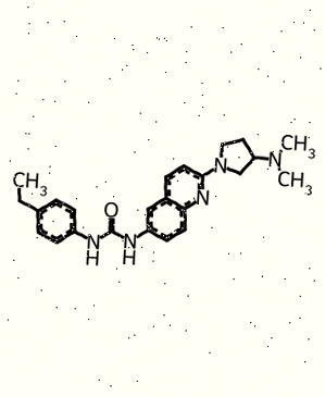 CCc1ccc(NC(=O)Nc2ccc3nc(N4CCC(N(C)C)C4)ccc3c2)cc1